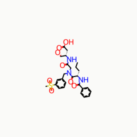 CCC[C@H](NC(=O)c1ccccc1)C(=O)N(CC(=O)N[C@H](C=O)CC(=O)O)Cc1cccc(S(C)(=O)=O)c1